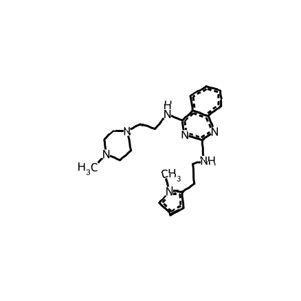 CN1CCN(CCNc2nc(NCCc3cccn3C)nc3ccccc23)CC1